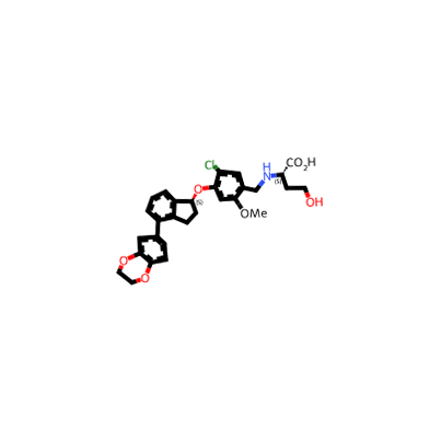 COc1cc(O[C@H]2CCc3c(-c4ccc5c(c4)OCCO5)cccc32)c(Cl)cc1CN[C@@H](CCO)C(=O)O